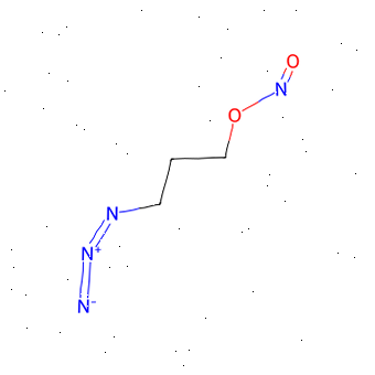 [N-]=[N+]=NCCCON=O